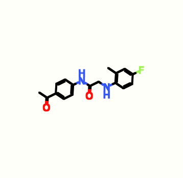 CC(=O)c1ccc(NC(=O)CNc2ccc(F)cc2C)cc1